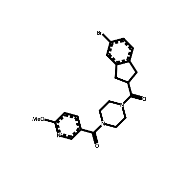 COc1ccc(C(=O)N2CCN(C(=O)C3Cc4ccc(Br)cc4C3)CC2)cn1